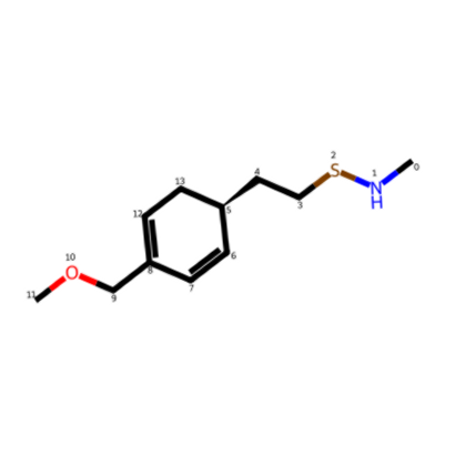 CNSCC[C@H]1C=CC(COC)=CC1